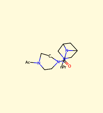 CCCN1CC2CC(C1)N2C(=O)N1CCN(C(C)=O)CC1